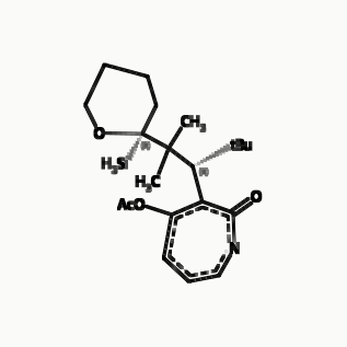 CC(=O)Oc1cccnc(=O)c1[C@@H](C(C)(C)C)C(C)(C)[C@]1([SiH3])CCCCO1